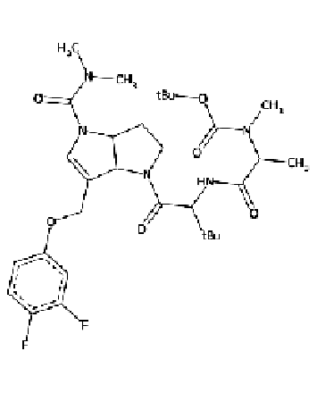 CC(C(=O)NC(C(=O)N1CCC2C1C(COc1ccc(F)c(F)c1)=CN2C(=O)N(C)C)C(C)(C)C)N(C)C(=O)OC(C)(C)C